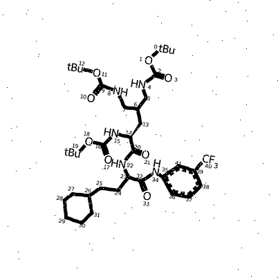 CC(C)(C)OC(=O)NCC(CNC(=O)OC(C)(C)C)C[C@H](NC(=O)OC(C)(C)C)C(=O)NC(CCC1CCCCC1)C(=O)Nc1cccc(C(F)(F)F)c1